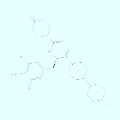 CN1CCC(C2CCN(C(=O)[C@@H](Cc3cc(Br)c(N)c(Br)c3)NC(=O)N3CCC(=O)CC3)CC2)CC1